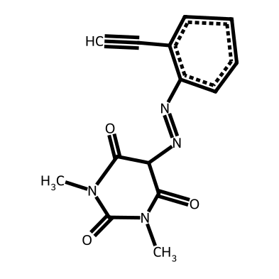 C#Cc1ccccc1/N=N/C1C(=O)N(C)C(=O)N(C)C1=O